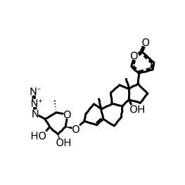 C[C@@H]1O[C@@H](OC2C=C3CCC4C(CCC5(C)C(c6ccc(=O)oc6)CCC45O)C3(C)CC2)[C@H](O)C(O)C1N=[N+]=[N-]